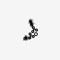 C1=C\CC/C=C\CC/1.F[B-](F)(F)F.F[B-](F)(F)F.F[B-](F)(F)F.[Rh+3].c1ccc(P(c2ccccc2)c2ccccc2)cc1.c1ccc(P(c2ccccc2)c2ccccc2)cc1